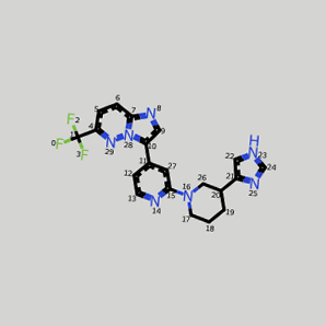 FC(F)(F)c1ccc2ncc(-c3ccnc(N4CCCC(c5c[nH]cn5)C4)c3)n2n1